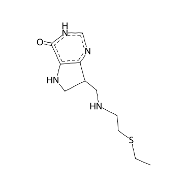 CCSCCNCC1CNc2c1nc[nH]c2=O